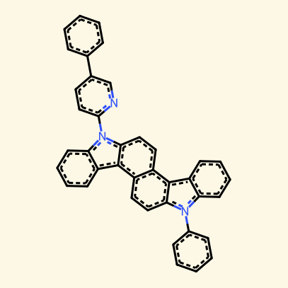 c1ccc(-c2ccc(-n3c4ccccc4c4c5ccc6c(c5ccc43)c3ccccc3n6-c3ccccc3)nc2)cc1